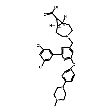 CN1CCN(c2ccc(Oc3cc(CN4CC[C@H]5C(C(=O)O)[C@@H]5CC4)cc(-c4cc(Cl)cc(Cl)c4)n3)cn2)CC1